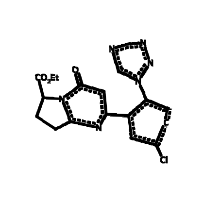 CCOC(=O)C1CCc2nc(-c3cc(Cl)ccc3-n3cnnn3)cc(=O)n21